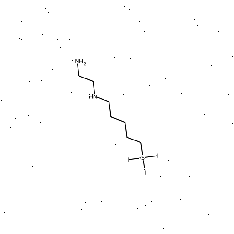 NCCNCCCCCS(I)(I)I